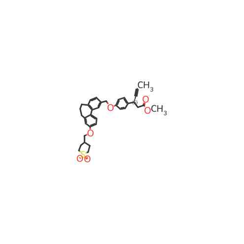 CC#C[C@@H](CC(=O)OC)c1ccc(OCc2ccc3c(c2)-c2ccc(OCC4CCS(=O)(=O)CC4)cc2CCC3)cc1